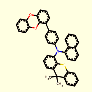 CC1(C)c2ccccc2Sc2c(N(c3ccc(-c4cccc5c4Oc4ccccc4O5)cc3)c3cccc4ccccc34)cccc21